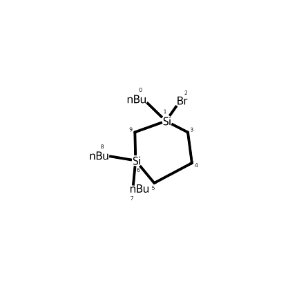 CCCC[Si]1(Br)CCC[Si](CCCC)(CCCC)C1